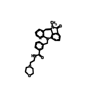 CN1C(=O)c2cccc3c2C1=Cc1cccnc1N3Cc1cccc(C(=O)NCCN2CCOCC2)c1